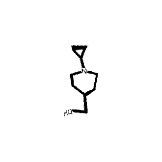 OCC1CCN(C2CC2)CC1